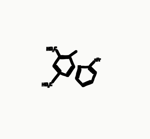 CCCc1ccccn1.Cc1ccc(C(=O)O)cc1C(=O)O